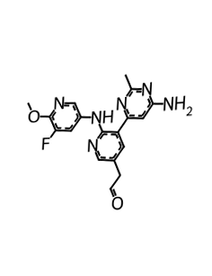 COc1ncc(Nc2ncc(CC=O)cc2-c2cc(N)nc(C)n2)cc1F